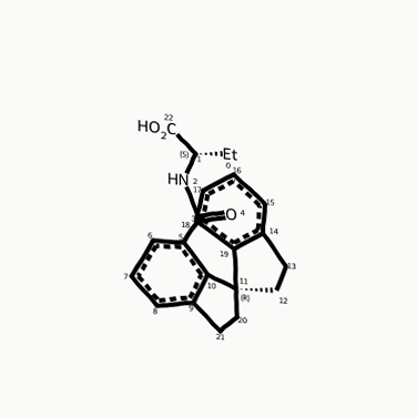 CC[C@H](NC(=O)c1cccc2c1[C@]1(CCc3ccccc31)CC2)C(=O)O